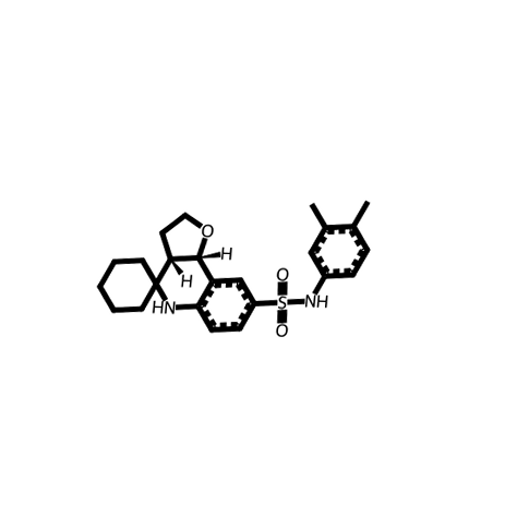 Cc1ccc(NS(=O)(=O)c2ccc3c(c2)[C@H]2OCC[C@H]2C2(CCCCC2)N3)cc1C